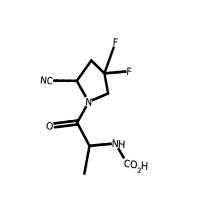 CC(NC(=O)O)C(=O)N1CC(F)(F)CC1C#N